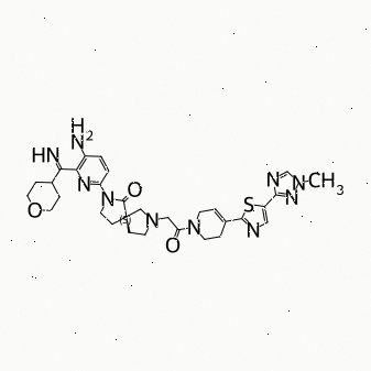 Cn1cnc(-c2cnc(C3=CCN(C(=O)CN4CC[C@]5(CCN(c6ccc(N)c(C(=N)C7CCOCC7)n6)C5=O)C4)CC3)s2)n1